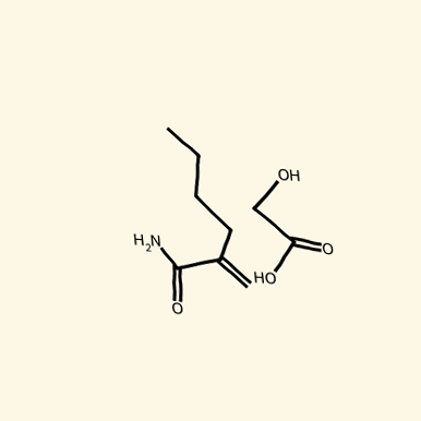 C=C(CCCC)C(N)=O.O=C(O)CO